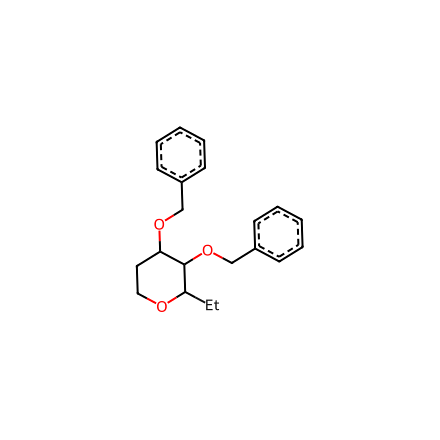 CCC1OCCC(OCc2ccccc2)C1OCc1ccccc1